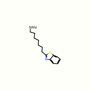 CNCCCCCCCc1nc2ccccc2s1